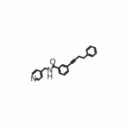 O=C(NCc1ccncc1)c1cccc(C#CCCc2ccccc2)c1